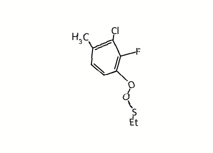 CCSOOc1ccc(C)c(Cl)c1F